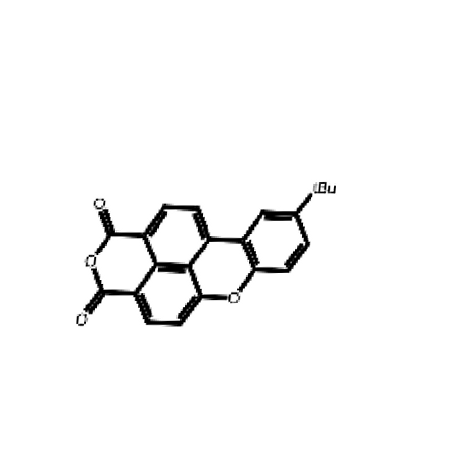 CC(C)(C)c1ccc2oc3ccc4c(=O)oc(=O)c5ccc(c2c1)c3c45